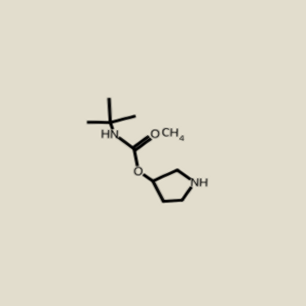 C.CC(C)(C)NC(=O)OC1CCNC1